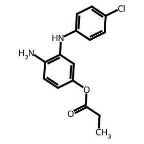 CCC(=O)Oc1ccc(N)c(Nc2ccc(Cl)cc2)c1